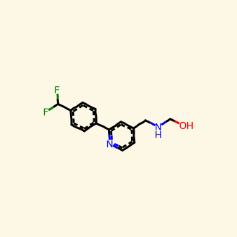 OCNCc1ccnc(-c2ccc(C(F)F)cc2)c1